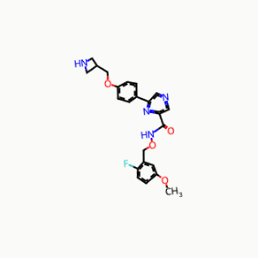 COc1ccc(F)c(CONC(=O)c2cncc(-c3ccc(OCC4CNC4)cc3)n2)c1